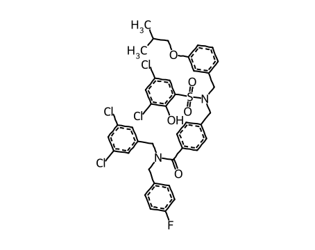 CC(C)COc1cccc(CN(Cc2ccc(C(=O)N(Cc3ccc(F)cc3)Cc3cc(Cl)cc(Cl)c3)cc2)S(=O)(=O)c2cc(Cl)cc(Cl)c2O)c1